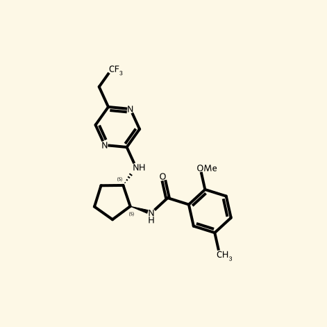 COc1ccc(C)cc1C(=O)N[C@H]1CCC[C@@H]1Nc1cnc(CC(F)(F)F)cn1